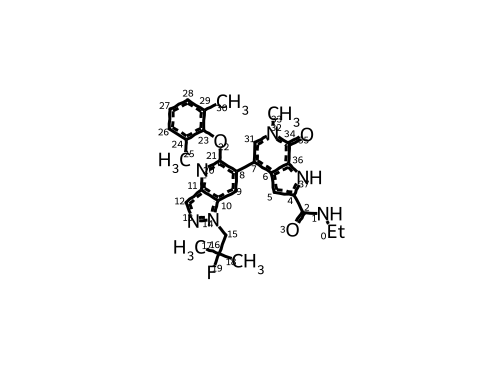 CCNC(=O)c1cc2c(-c3cc4c(cnn4CC(C)(C)F)nc3Oc3c(C)cccc3C)cn(C)c(=O)c2[nH]1